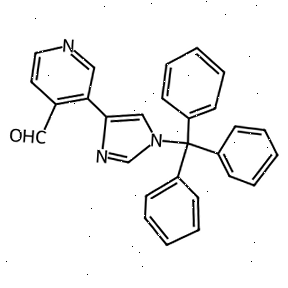 O=Cc1ccncc1-c1cn(C(c2ccccc2)(c2ccccc2)c2ccccc2)cn1